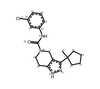 CC1(c2n[nH]c3c2CN(C(=O)Nc2cccc(Cl)c2)CC3)CCCC1